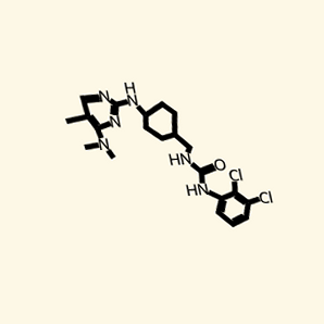 Cc1cnc(NC2CCC(CNC(=O)Nc3cccc(Cl)c3Cl)CC2)nc1N(C)C